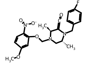 COc1ccc([N+](=O)[O-])c(OCN2C[C@@H](C)N(Cc3ccc(F)cc3)C(=C=O)[C@@H]2C)c1